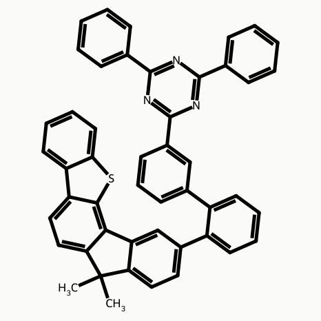 CC1(C)c2ccc(-c3ccccc3-c3cccc(-c4nc(-c5ccccc5)nc(-c5ccccc5)n4)c3)cc2-c2c1ccc1c2sc2ccccc21